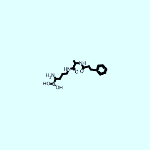 CC(NC(=O)CCc1ccccc1)C(=O)NCCCC(N)B(O)O